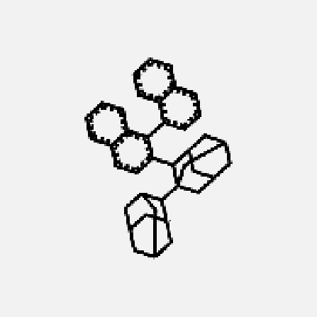 c1ccc2c(-c3c(C4C5CC6CC(C5)CC4(C4[C]5CC7CC(C5)CC4C7)C6)ccc4ccccc34)cccc2c1